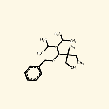 CCC(C)(CC)P(OCc1ccccc1)N(C(C)C)C(C)C